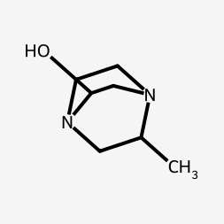 CC1CN2CCN1CC2O